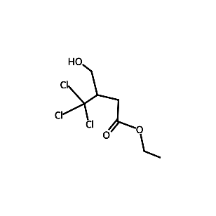 CCOC(=O)CC(CO)C(Cl)(Cl)Cl